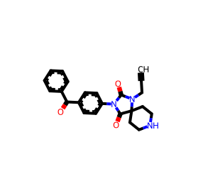 C#CCN1C(=O)N(c2ccc(C(=O)c3ccccc3)cc2)C(=O)C12CCNCC2